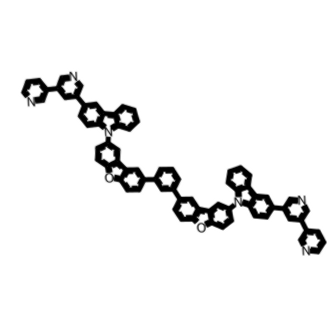 c1cncc(-c2cncc(-c3ccc4c(c3)c3ccccc3n4-c3ccc4oc5ccc(-c6cccc(-c7ccc8oc9ccc(-n%10c%11ccccc%11c%11cc(-c%12cncc(-c%13cccnc%13)c%12)ccc%11%10)cc9c8c7)c6)cc5c4c3)c2)c1